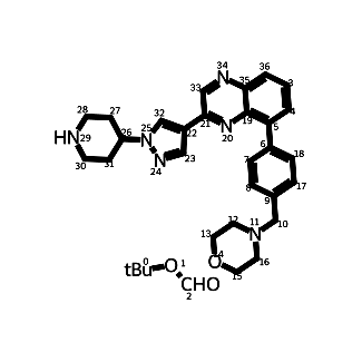 CC(C)(C)OC=O.c1cc(-c2ccc(CN3CCOCC3)cc2)c2nc(-c3cnn(C4CCNCC4)c3)cnc2c1